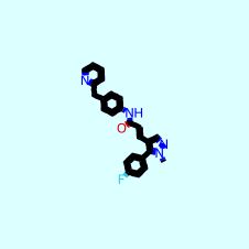 Cn1ncc(C=CC(=O)Nc2ccc(Cc3ccccn3)cc2)c1-c1ccc(F)cc1